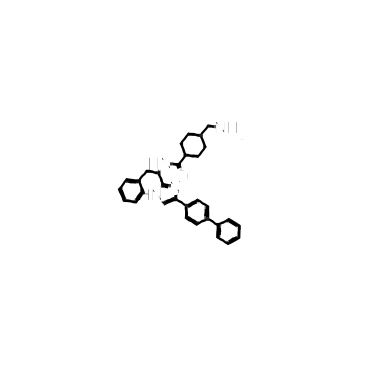 NCC1CCC(C(=O)NC(Cc2ccccc2)c2nc(-c3ccc(-c4ccccc4)cc3)c[nH]2)CC1